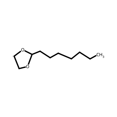 CCCCCCCC1O[CH]CO1